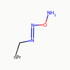 CCCCN=NON